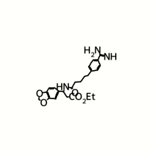 CCOC(=O)CC(NC(=O)CCCCc1ccc(C(=N)N)cc1)c1ccc2c(c1)OCO2